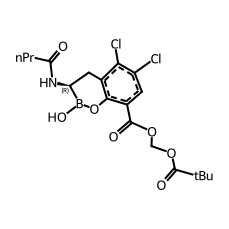 CCCC(=O)N[C@H]1Cc2c(Cl)c(Cl)cc(C(=O)OCOC(=O)C(C)(C)C)c2OB1O